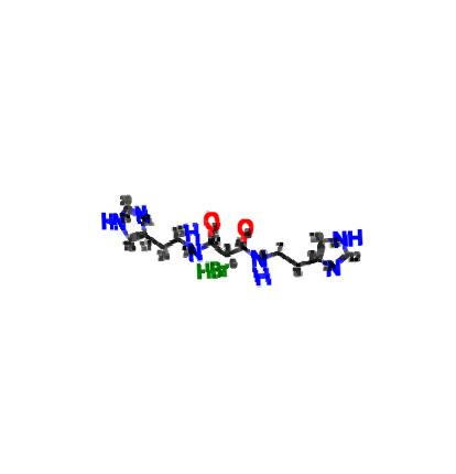 Br.O=C(CC(=O)NCCc1c[nH]cn1)NCCc1c[nH]cn1